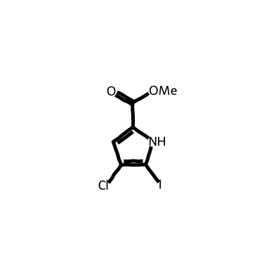 COC(=O)c1cc(Cl)c(I)[nH]1